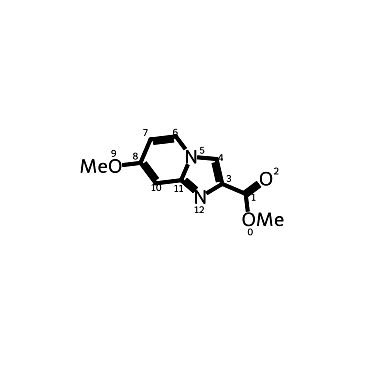 COC(=O)c1cn2ccc(OC)cc2n1